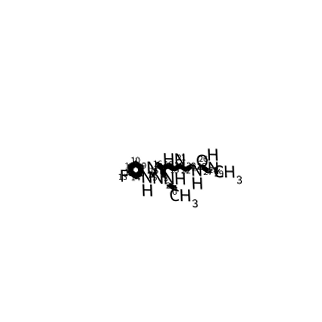 CCCNc1nc(Nc2cccc(F)c2)ncc1/C=C/C(=N)CCNC(=O)CNC